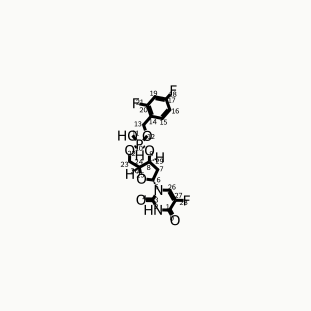 O=c1[nH]c(=O)n([C@H]2C[C@@H]3O[PH](O)(OCc4ccc(F)cc4F)OC[C@H]3O2)cc1F